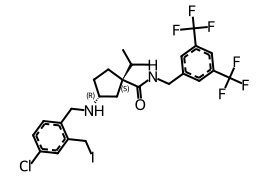 CC(C)[C@]1(C(=O)NCc2cc(C(F)(F)F)cc(C(F)(F)F)c2)CC[C@@H](NCc2ccc(Cl)cc2CI)C1